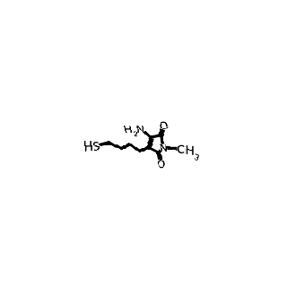 CN1C(=O)C(N)=C(CCCCS)C1=O